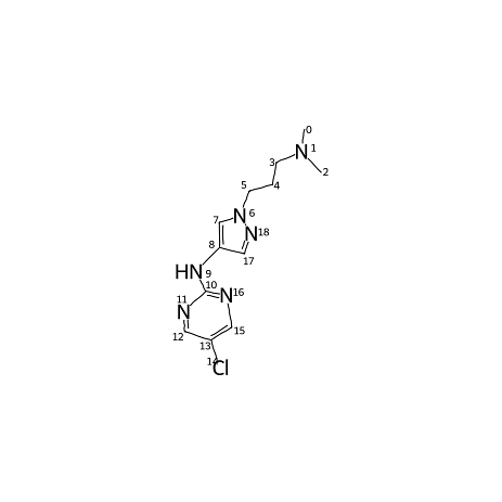 CN(C)CCCn1cc(Nc2ncc(Cl)cn2)cn1